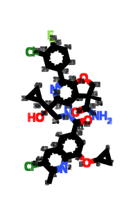 Cc1nc2c(OC3CC3)cc(C(=O)NC[C@](O)(c3cc4c(c(-c5ccc(F)c(Cl)c5)n3)OC[C@]4(C)C(N)=O)C3CC3)cc2cc1Cl